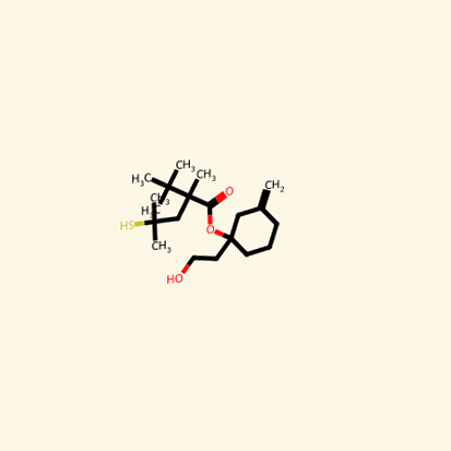 C=C1CCCC(CCO)(OC(=O)C(C)(CC(C)(C)S)C(C)(C)C)C1